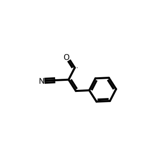 N#CC([C]=O)=Cc1ccccc1